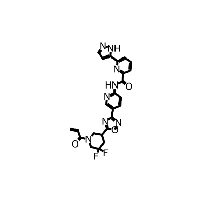 C=CC(=O)N1CC(c2nc(-c3ccc(NC(=O)c4cccc(-c5ccn[nH]5)n4)nc3)no2)CC(F)(F)C1